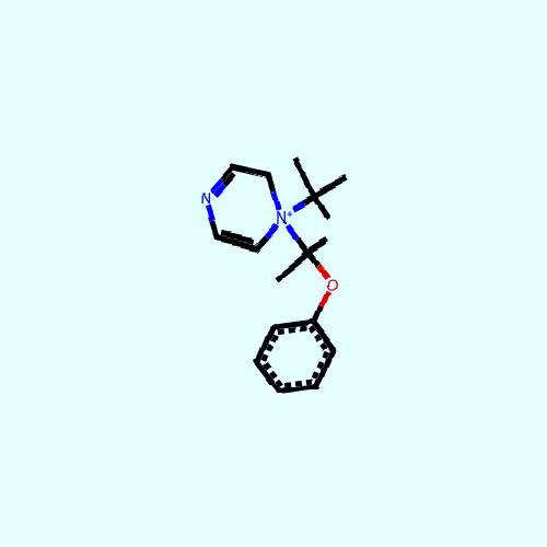 CC(C)(C)[N+]1(C(C)(C)Oc2ccccc2)C=CN=CC1